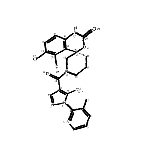 Cc1cccnc1-n1ncc(C(=O)N2CCC[C@@]3(C2)OC(=O)Nc2ccc(Cl)c(F)c23)c1N